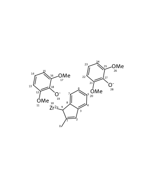 CC1=Cc2ccccc2[CH]1[Zr+2].COc1cccc(OC)c1[O-].COc1cccc(OC)c1[O-]